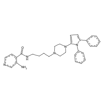 Nc1cnccc1C(=O)NCCCCN1CCN(C2=CC=S(c3ccccc3)N2c2ccccc2)CC1